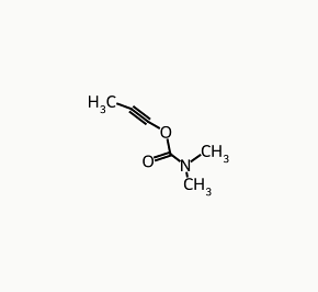 CC#COC(=O)N(C)C